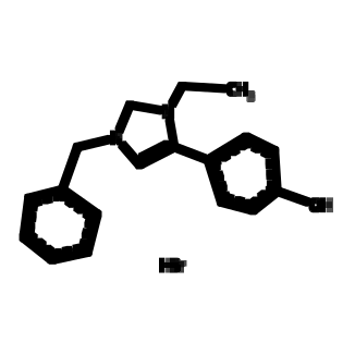 Br.CCN1CN(Cc2ccccc2)C=C1c1ccc(O)cc1